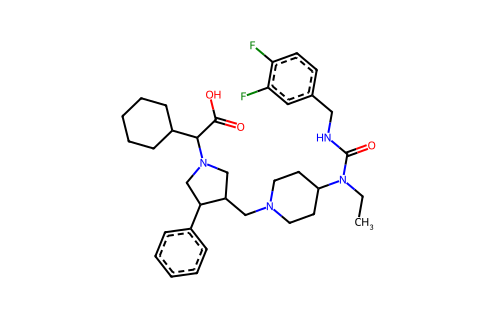 CCN(C(=O)NCc1ccc(F)c(F)c1)C1CCN(CC2CN(C(C(=O)O)C3CCCCC3)CC2c2ccccc2)CC1